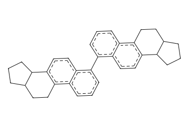 c1cc(-c2cccc3c4c(ccc23)C2CCCC2CC4)c2ccc3c(c2c1)CCC1CCCC31